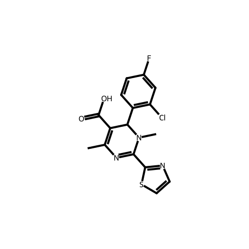 CC1=C(C(=O)O)C(c2ccc(F)cc2Cl)N(C)C(c2nccs2)=N1